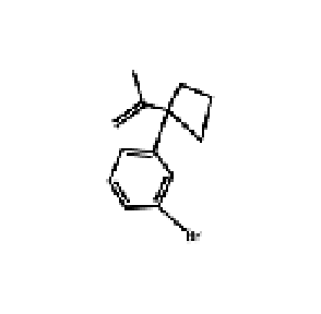 C=C(C)C1(c2cccc(Br)c2)CCC1